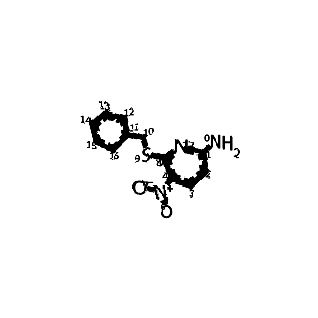 Nc1ccc([N+](=O)[O-])c(SCc2ccccc2)n1